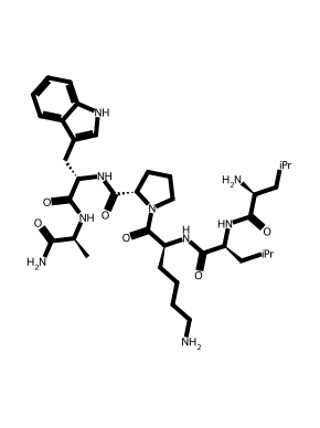 CC(C)C[C@H](NC(=O)[C@@H](N)CC(C)C)C(=O)N[C@@H](CCCCN)C(=O)N1CCC[C@H]1C(=O)N[C@@H](Cc1c[nH]c2ccccc12)C(=O)N[C@@H](C)C(N)=O